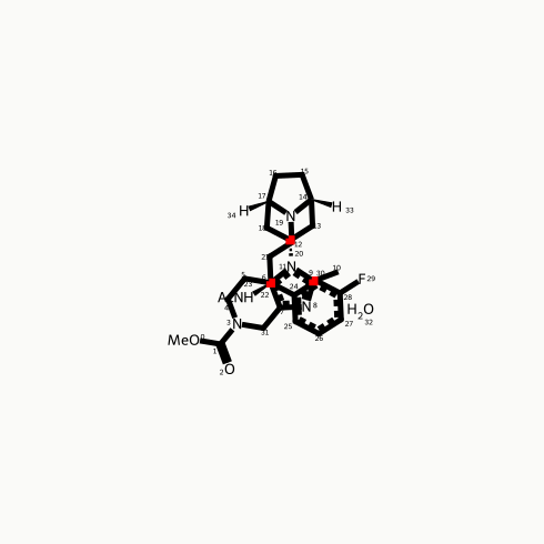 COC(=O)N1CCc2c(nc(C)n2[C@H]2C[C@H]3CC[C@@H](C2)N3CC[C@H](NC(C)=O)c2cccc(F)c2)C1.O